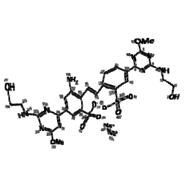 COc1nc(NCCO)nc(-c2ccc(C=Cc3c(N)cc(-c4nc(NCCO)nc(OC)n4)cc3S(=O)(=O)[O-])c(S(=O)(=O)[O-])c2)n1.[Na+].[Na+]